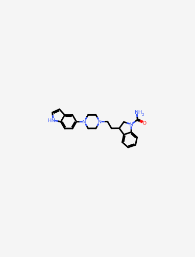 NC(=O)N1CC(CCN2CCN(c3ccc4[nH]ccc4c3)CC2)c2ccccc21